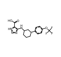 O=C(O)c1[nH]nnc1NC1CCCN(c2ccc(OC(F)(F)F)cc2)C1